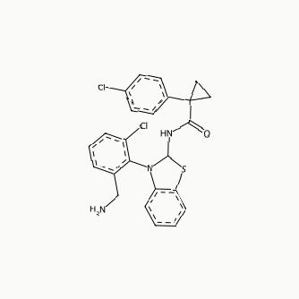 NCc1cccc(Cl)c1N1c2ccccc2SC1NC(=O)C1(c2ccc(Cl)cc2)CC1